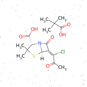 CC(=O)C(Cl)=C1C(=O)N2[C@@H]1SC(C)(C)[C@@H]2C(=O)O.CC(C)(C)C(=O)O